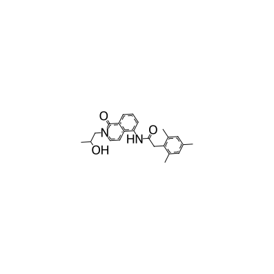 Cc1cc(C)c(CC(=O)Nc2cccc3c(=O)n(CC(C)O)ccc23)c(C)c1